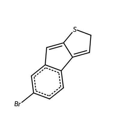 Brc1ccc2c(c1)C=C1SCC=C12